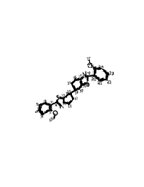 COc1ccccc1-c1nc2ccc(-c3ccc4nc(-c5ccccc5OC)sc4c3)cc2s1